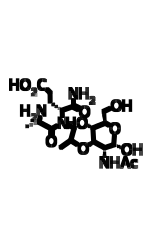 CC(=O)N[C@@H]1[C@@H](OC(C)CN(C(=O)[C@H](C)N)[C@H](CCC(=O)O)C(N)=O)[C@H](O)[C@@H](CO)O[C@@H]1O